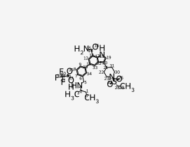 CC[C@@H](C)NCc1cccc(-c2cc(C(N)=O)c3[nH]cc(C4CCN(S(=O)(=O)CC)CC4)c3c2)c1.O=C(O)C(F)(F)F